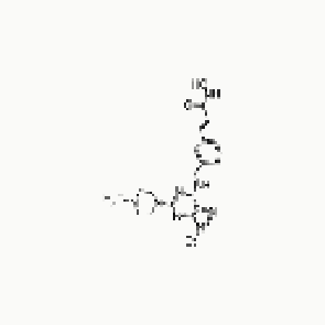 CCn1cnc2c(NCc3cccc(/C=C/C(=O)NO)c3)nc(N3CCN(C)CC3)nc21